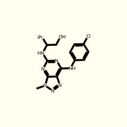 CC(C)C(CO)Nc1nc(Nc2ccc(Cl)cc2)c2nnn(C)c2n1